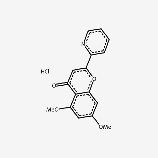 COc1cc(OC)c2c(=O)cc(-c3ccccn3)oc2c1.Cl